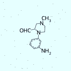 CN1CCN(c2cccc(N)c2)C(C=O)C1